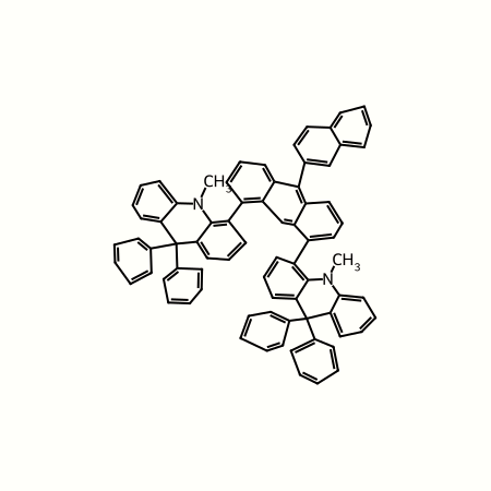 CN1c2ccccc2C(c2ccccc2)(c2ccccc2)c2cccc(-c3cccc4c(-c5ccc6ccccc6c5)c5cccc(-c6cccc7c6N(C)c6ccccc6C7(c6ccccc6)c6ccccc6)c5cc34)c21